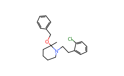 CC1(OCc2ccccc2)CCCCN1CCc1ccccc1Cl